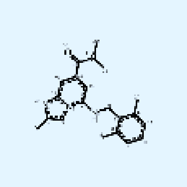 Cc1cn2c(NCc3c(C)cccc3C)cc(C(=O)N(C)C)cc2n1